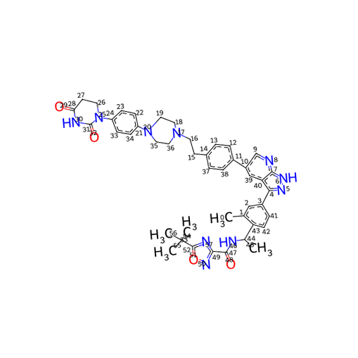 Cc1cc(-c2n[nH]c3ncc(-c4ccc(CCN5CCN(c6ccc(N7CCC(=O)NC7=O)cc6)CC5)cc4)cc23)ccc1C(C)NC(=O)c1noc(C(C)(C)C)n1